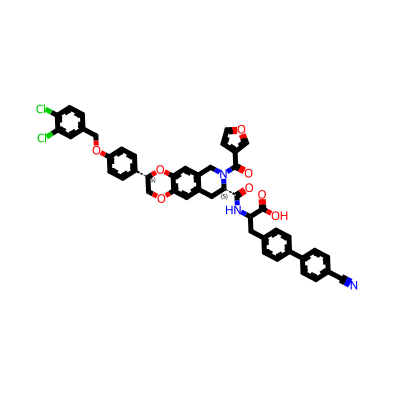 N#Cc1ccc(-c2ccc(CC(NC(=O)[C@@H]3Cc4cc5c(cc4CN3C(=O)c3ccoc3)O[C@@H](c3ccc(OCc4ccc(Cl)c(Cl)c4)cc3)CO5)C(=O)O)cc2)cc1